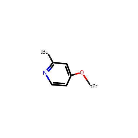 CCCOc1ccnc(C(C)(C)C)c1